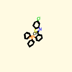 C[PH](c1ccccc1)(c1ccccc1)c1ccccc1-c1nc2cc(Cl)ccc2s1